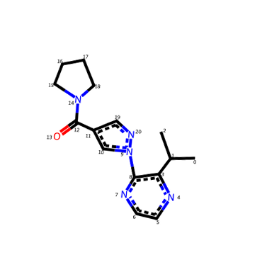 CC(C)c1nccnc1-n1cc(C(=O)N2CCCC2)cn1